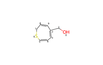 OCC1=CC=CSCC=C1